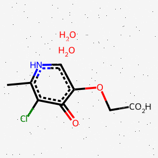 Cc1[nH]cc(OCC(=O)O)c(=O)c1Cl.O.O